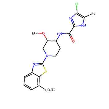 CCOC(=O)c1cccc2nc(N3CCC(NC(=O)c4nc(Cl)c(CC)[nH]4)C(OCC)C3)sc12